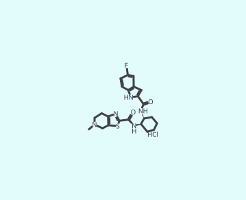 CN1CCc2nc(C(=O)N[C@@H]3CCCC[C@H]3NC(=O)c3cc4cc(F)ccc4[nH]3)sc2C1.Cl